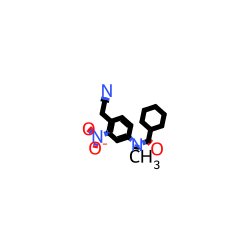 CN(C(=O)C1CCCCC1)c1ccc(CC#N)c([N+](=O)[O-])c1